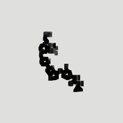 CC1(C)CN(Cc2ccc(-c3cc4nccc(Oc5ccc(NC(=O)NC6CC6)cc5F)c4s3)nc2)CCN1CCO